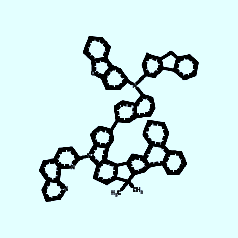 CC1(C)c2cc3c4ccccc4c4ccccc4c3cc2-c2c1ccc1c2c2cc(-c3ccc4c(N(c5ccc6c(c5)-c5ccccc5C6)c5ccc6oc7ccccc7c6c5)cccc4c3)ccc2n1-c1ccc2ccc3cccnc3c2n1